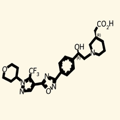 O=C(O)C[C@H]1CCCN(C[C@H](O)c2ccc(-c3noc(-c4cnn(C5CCOCC5)c4C(F)(F)F)n3)cc2)C1